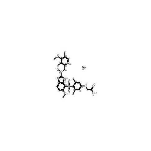 COc1ccc2nc([S+]([O-])Cc3ncc(C)c(OC)c3C)[nH]c2c1S(=O)(=O)c1c(C)cc(OCC(=O)O)cc1C.[Na]